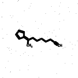 C#CCCCCCC(C)=C1C=CC=C1